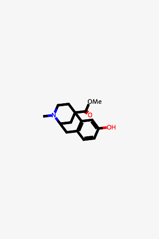 COC(=O)C12CCN(C)C(Cc3ccc(O)cc31)C2